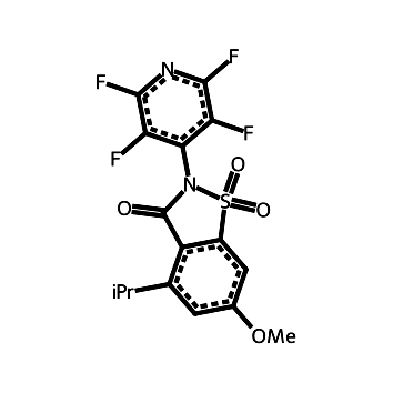 COc1cc(C(C)C)c2c(c1)S(=O)(=O)N(c1c(F)c(F)nc(F)c1F)C2=O